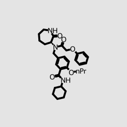 CCCOc1ccc(CN(C(=O)COc2ccccc2)[C@H]2CCCCNC2=O)cc1C(=O)NC1CCCCC1